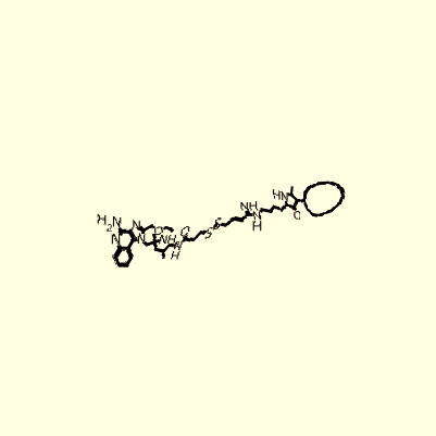 CCOCc1nc2c(N)nc3ccccc3c2n1CC(C)(N)CC(C)CNC(=O)CCSSCCCC(=N)NCCCCC1NC(C)C(C2CCCCCCCCCCCC2)C1=O